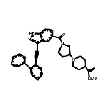 CNC(=O)C1CCN(C2CCN(C(=O)c3ccc4[nH]nc(C#Cc5ccccc5-c5ccccc5)c4c3)C2)CC1